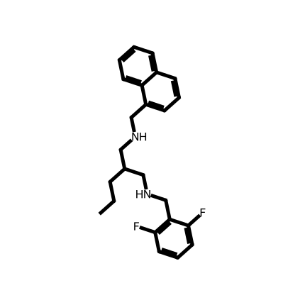 CCCC(CNCc1c(F)cccc1F)CNCc1cccc2ccccc12